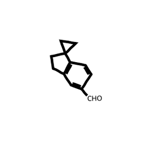 O=Cc1ccc2c(c1)CCC21CC1